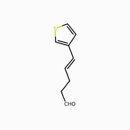 O=CCCC=Cc1ccsc1